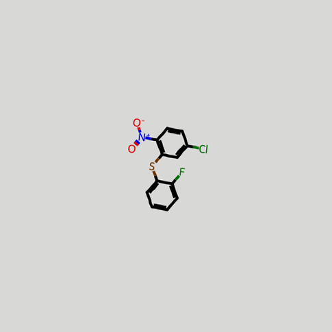 O=[N+]([O-])c1ccc(Cl)cc1Sc1ccccc1F